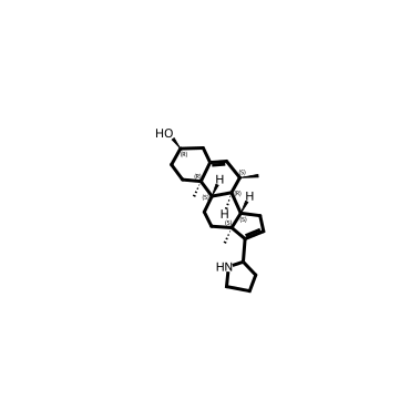 C[C@@H]1C=C2C[C@H](O)CC[C@]2(C)[C@H]2CC[C@]3(C)C(C4CCCN4)=CC[C@H]3[C@H]12